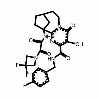 O=C(NC12CCC(CCn3c1nc(C(=O)NCc1ccc(F)cc1)c(O)c3=O)C2)C(=O)N1CC(F)(F)C1